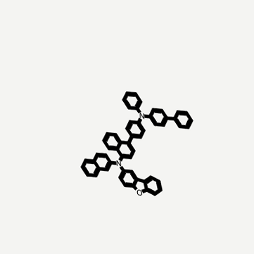 c1ccc(-c2ccc(N(c3ccccc3)c3ccc(-c4ccc(N(c5ccc6ccccc6c5)c5ccc6oc7ccccc7c6c5)c5ccccc45)cc3)cc2)cc1